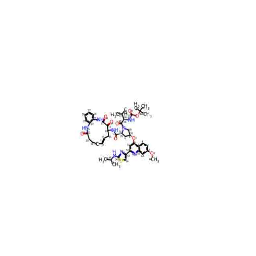 COc1ccc2c(O[C@H]3C[C@@H](C(=O)NC4C/C=C/CCCC(=O)Nc5ccccc5NC(=O)C4=O)N(C(=O)[C@H](NC(=O)OC(C)(C)C)C(C)C)C3)cc(-c3csc(NC(C)C)n3)nc2c1